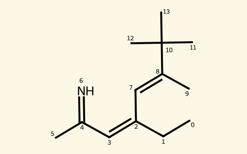 CCC(=C/C(C)=N)/C=C(\C)C(C)(C)C